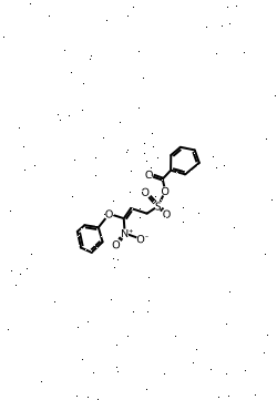 O=C(OS(=O)(=O)CC=C(Oc1ccccc1)[N+](=O)[O-])c1ccccc1